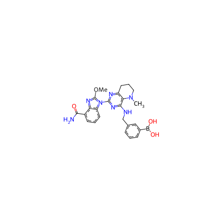 COc1nc2c(C(N)=O)cccc2n1-c1nc2c(c(NCc3cccc(B(O)O)c3)n1)N(C)CCC2